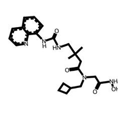 CC(C)(CNC(=O)Nc1cccc2cccnc12)CC(=O)N(CC(=O)NO)CC1CCC1